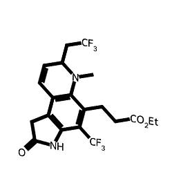 CCOC(=O)CCc1c2c(c3c(c1C(F)(F)F)NC(=O)C3)C=CC(CC(F)(F)F)N2C